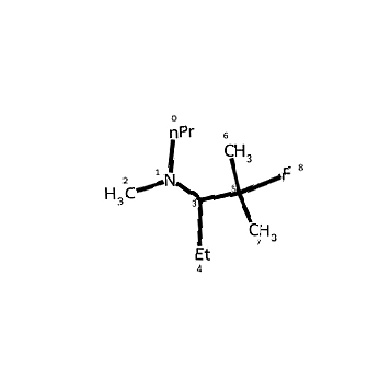 CCCN(C)C(CC)C(C)(C)F